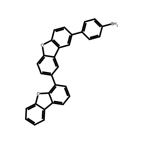 Bc1ccc(-c2ccc3oc4ccc(-c5cccc6c5oc5ccccc56)cc4c3c2)cc1